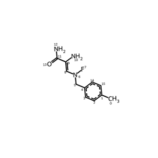 Cc1ccc(CN(F)/C=C(\N)C(N)=O)cc1